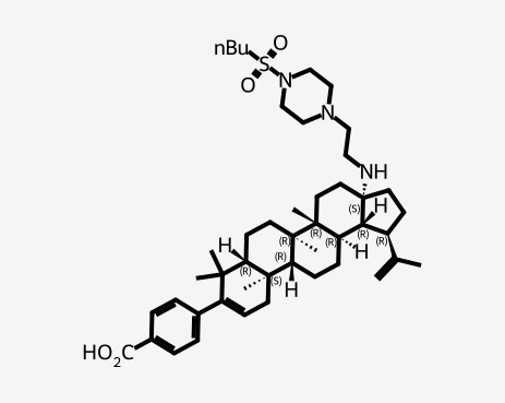 C=C(C)[C@@H]1CC[C@]2(NCCN3CCN(S(=O)(=O)CCCC)CC3)CC[C@]3(C)[C@H](CC[C@@H]4[C@@]5(C)CC=C(c6ccc(C(=O)O)cc6)C(C)(C)[C@@H]5CC[C@]43C)[C@@H]12